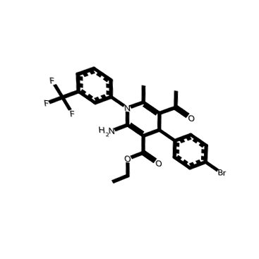 CCOC(=O)C1=C(N)N(c2cccc(C(F)(F)F)c2)C(C)=C(C(C)=O)C1c1ccc(Br)cc1